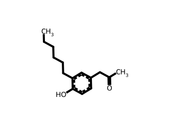 CCCCCCc1cc(CC(C)=O)ccc1O